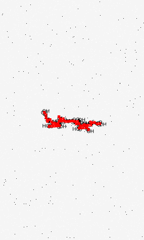 COc1ccc(S(=O)(=O)CCOCCCS(=O)(=O)c2ccc(N=Nc3c(S(=O)(=O)O)cc4cc(SOOO)c(N=Nc5ccc(SC#COOS(=O)(=O)O)cc5)c(N)c4c3O)c(S(=O)(=O)O)c2)cc1N=Nc1c(S(=O)(=O)O)cc2cc(SOOO)c(N=Nc3ccc(SC#COOS(=O)(=O)O)cc3)c(N)c2c1O